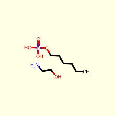 CCCCCCOP(=O)(O)O.NCCO